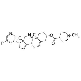 CN1CCC(C(=O)OC2CCC3(C)C(=CCC4C5=CC=C(c6cncc(F)c6)C5(C)CCC43)C2)CC1